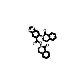 O=C(ON1CCc2ccccc2C1=O)c1cc2ncsc2cc1N1CCc2ccccc2C1=O